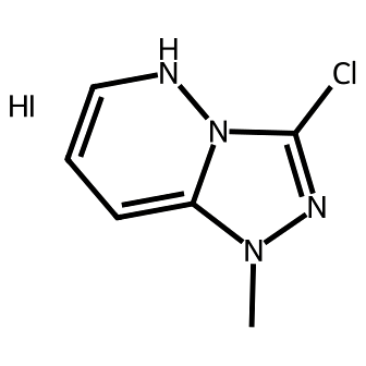 CN1N=C(Cl)N2NC=CC=C12.I